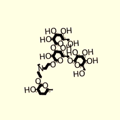 C[C@H]1CC[C@H](O)[C@H](OCCN(C)CCO[C@H]2O[C@H](CO[C@H]3O[C@H](CO)[C@@H](O)[C@H](O)[C@@H]3O)[C@@H](O)[C@H](O[C@H]3O[C@H](CO)[C@@H](O)[C@H](O)[C@@H]3O)[C@@H]2O)O1